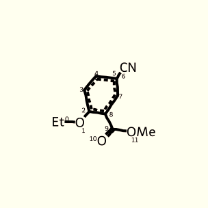 CCOc1ccc(C#N)cc1C(=O)OC